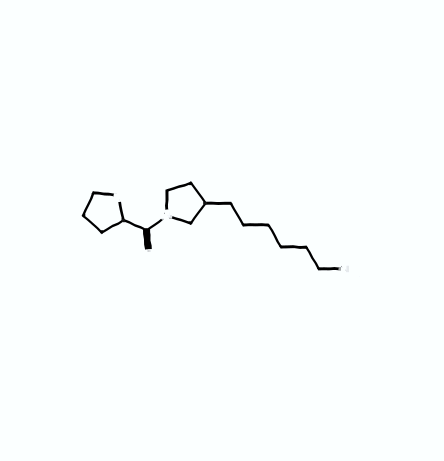 NCCCCCCC1CCN(C(=O)C2CCCS2)C1